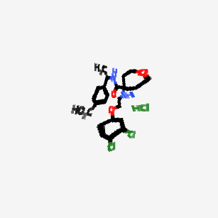 C[C@H](NC(=O)C1(NCCOc2ccc(Cl)c(Cl)c2)CCOCC1)c1ccc(C(=O)O)cc1.Cl